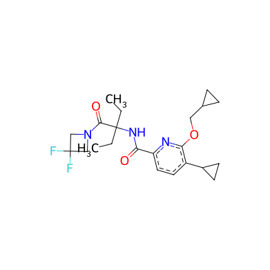 CCC(CC)(NC(=O)c1ccc(C2CC2)c(OCC2CC2)n1)C(=O)N1CC(F)(F)C1